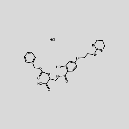 Cl.O=C(NC(CNC(=O)c1ccc(OCCNC2=NCCCN2)cc1O)C(=O)O)OCc1ccccc1